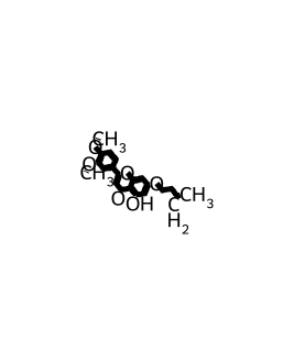 C=C(C)CCOc1cc(O)c2c(=O)cc(-c3ccc(OC)c(OC)c3)oc2c1